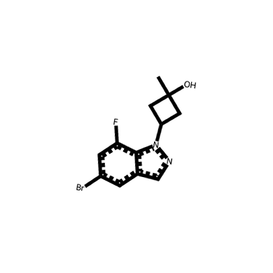 CC1(O)CC(n2ncc3cc(Br)cc(F)c32)C1